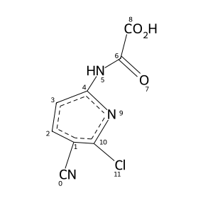 N#Cc1ccc(NC(=O)C(=O)O)nc1Cl